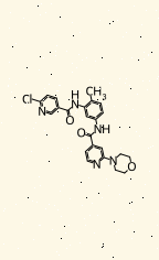 Cc1ccc(NC(=O)c2ccnc(N3CCOCC3)c2)cc1NC(=O)c1ccc(Cl)nc1